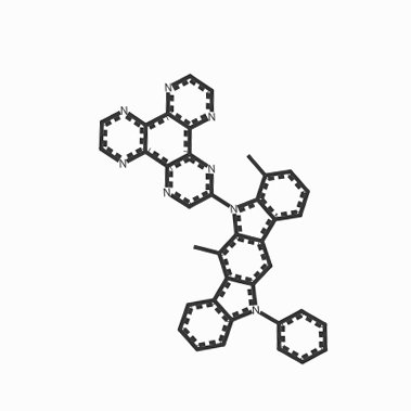 Cc1cccc2c3cc4c(c(C)c3n(-c3cnc5c6nccnc6c6nccnc6c5n3)c12)c1ccccc1n4-c1ccccc1